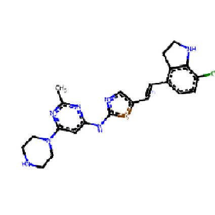 Cc1nc(Nc2ncc(/C=C/c3ccc(Cl)c4c3CCN4)s2)cc(N2CCNCC2)n1